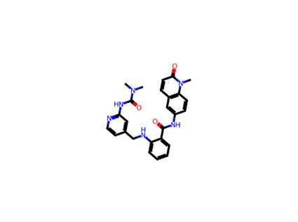 CN(C)C(=O)Nc1cc(CNc2ccccc2C(=O)Nc2ccc3c(ccc(=O)n3C)c2)ccn1